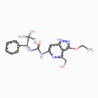 CCOc1n[nH]c2cc(NC(=O)N[C@@H](c3ccccc3)C(C)(C)O)nc(CO)c12